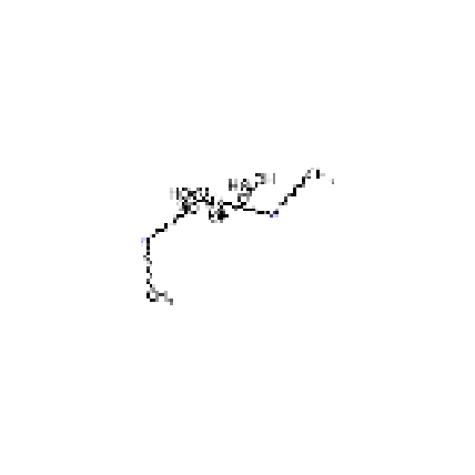 CCCCCCCC/C=C\CCCCCCCC(=O)O[C@H]1[C@@H]([C@@H](CO)OC(=O)CCC(CCCC/C=C\CCCCCCCC)OCC(O)CO)OC[C@@H]1O